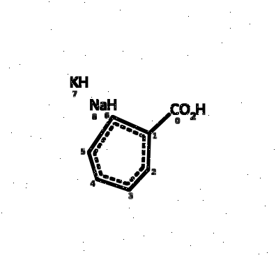 O=C(O)c1ccccc1.[KH].[NaH]